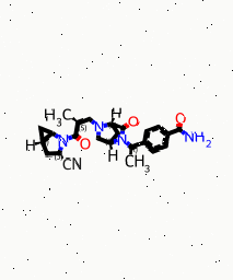 C[C@H](c1ccc(C(N)=O)cc1)N1C(=O)[C@@H]2C[C@H]1CN2C[C@H](C)C(=O)N1C2C[C@H]2C[C@H]1C#N